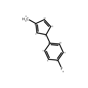 CC1=CC(c2ccc(F)cc2)C=C1